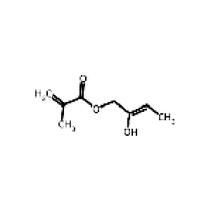 C=C(C)C(=O)OCC(O)=CC